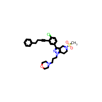 CS(=O)(=O)N1CCc2c(c(-c3ccc(Cl)c(C#CCCc4ccccc4)c3)nn2CCCN2CCOCC2)C1